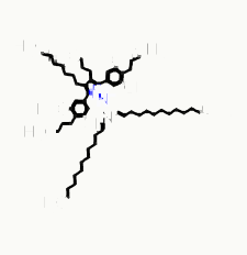 CCCCCCCCC1=C(c2cc(C)c(CCCC)c(C)c2)[N+](=[N-])C(c2cc(C)c(CCCC)c(C)c2)=C1CCCC.CCCCCCCCCCCC=[CH][Ni][CH]=CCCCCCCCCCCC